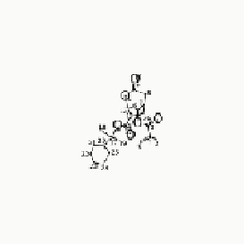 C=C(C)C(=O)OC1C2CC(=O)OC1C(C(=O)OC(C)(C)C1CCCCC1)C2